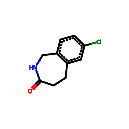 O=C1CCc2cc(Cl)ccc2CN1